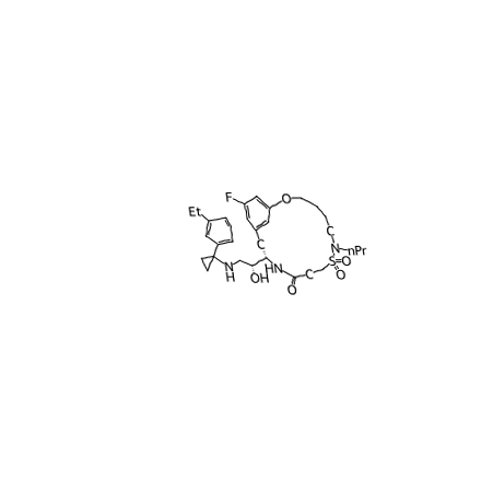 CCCN1CCCCOc2cc(F)cc(c2)C[C@@H]([C@H](O)CNC2(c3cccc(CC)c3)CC2)NC(=O)CCS1(=O)=O